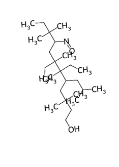 CCC(C)(C)C(CC(C)(CC)C(C)(CC)C(CC(C)C)CC(C)(C)CCO)N=O